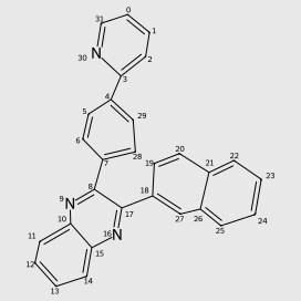 c1ccc(-c2ccc(-c3nc4ccccc4nc3-c3ccc4ccccc4c3)cc2)nc1